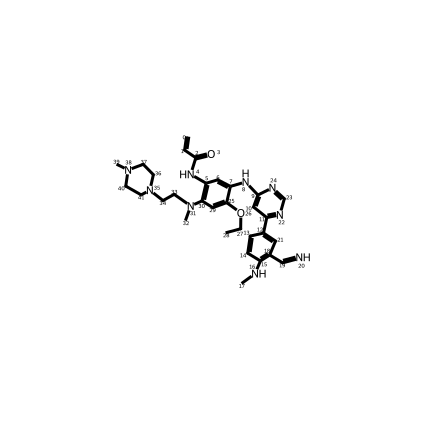 C=CC(=O)Nc1cc(Nc2cc(-c3ccc(NC)c(C=N)c3)ncn2)c(OCC)cc1N(C)CCN1CCN(C)CC1